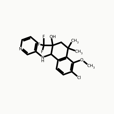 COc1c(Cl)ccc2c1C(C)(C)CC(O)(C(F)(F)F)C2Nc1cccnc1